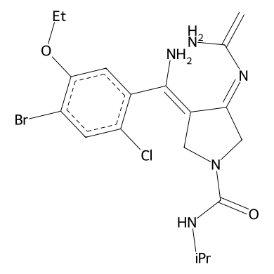 C=C(N)/N=C1/CN(C(=O)NC(C)C)C/C1=C(/N)c1cc(OCC)c(Br)cc1Cl